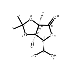 CC1(C)O[C@@H]2[C@@H](C([O])O)OC(=O)[C@@H]2O1